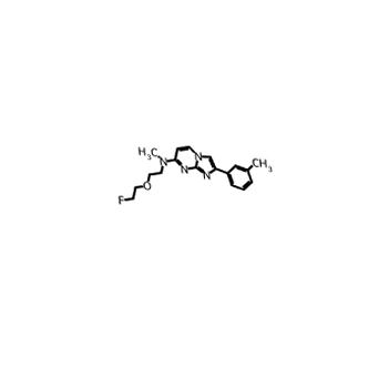 Cc1cccc(-c2cn3ccc(N(C)CCOCCF)nc3n2)c1